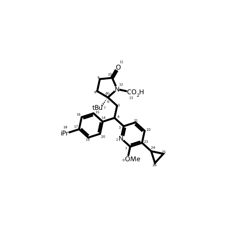 COc1nc(C(C[C@@]2(C(C)(C)C)CCC(=O)N2C(=O)O)c2ccc(C(C)C)cc2)ccc1C1CC1